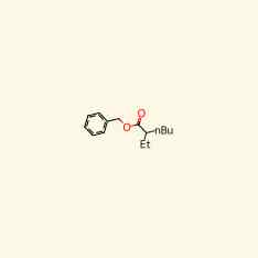 CCCCC(CC)C(=O)OCc1ccccc1